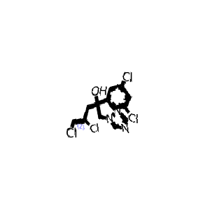 OC(C/C(Cl)=C/Cl)(Cn1cncn1)c1cc(Cl)cc(Cl)c1